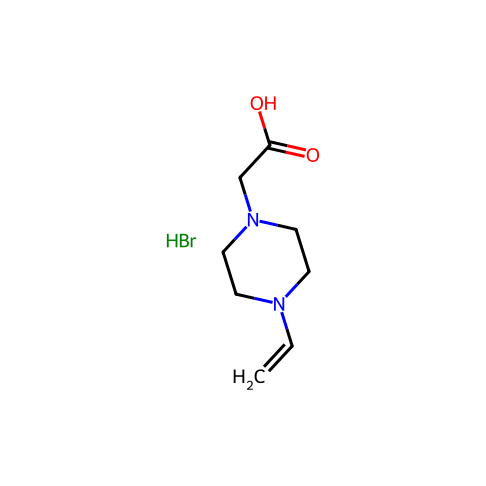 Br.C=CN1CCN(CC(=O)O)CC1